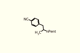 CCCCCC(C)Cc1ccc(C#N)cc1